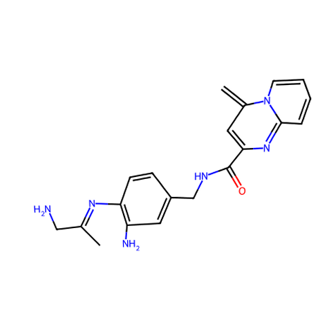 C=C1C=C(C(=O)NCc2ccc(/N=C(\C)CN)c(N)c2)N=C2C=CC=CN12